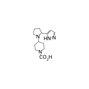 O=C(O)N1CCC(N2CCCC2c2ccn[nH]2)CC1